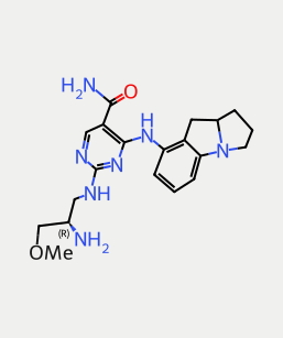 COC[C@H](N)CNc1ncc(C(N)=O)c(Nc2cccc3c2CC2CCCN32)n1